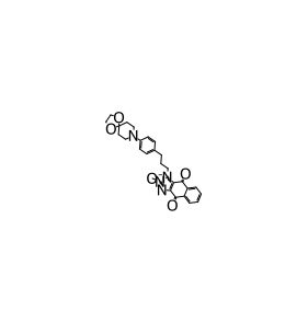 O=C1c2ccccc2C(=O)c2c1n[n+]([O-])n2CCCc1ccc(N2CCC3(CC2)OCCO3)cc1